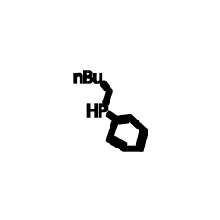 CCCCCPc1ccccc1